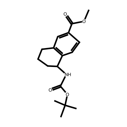 COC(=O)c1ccc2c(c1)CCCC2NC(=O)OC(C)(C)C